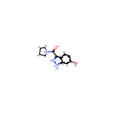 O=C(c1n[nH]c2cc(Br)ccc12)N1CCCC1